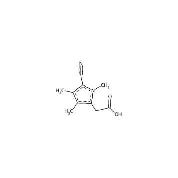 Cc1c(C)c(CC(=O)O)n(C)c1C#N